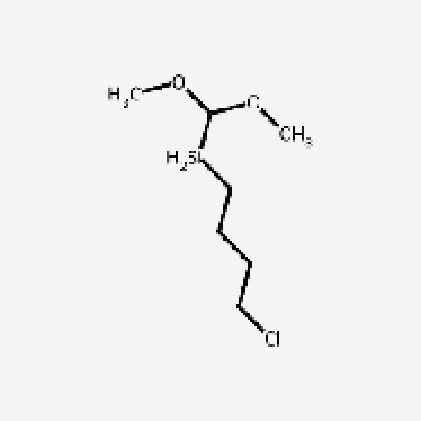 COC(OC)[SiH2]CCCCCl